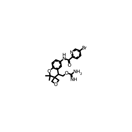 CC1(C)Oc2ccc(NC(=O)c3ccc(Br)cn3)cc2C(COC(=N)N)C12COC2